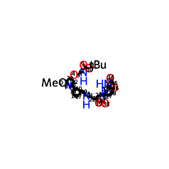 COc1cc(OCCNC(=O)OC(C)(C)C)cc(-c2cccc(CNCC[C@H]3CN(c4ccc5c(n4)NC(=O)CO5)C(=O)O3)c2)n1